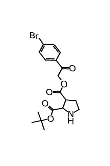 CC(C)(C)OC(=O)C1NCCC1C(=O)OCC(=O)c1ccc(Br)cc1